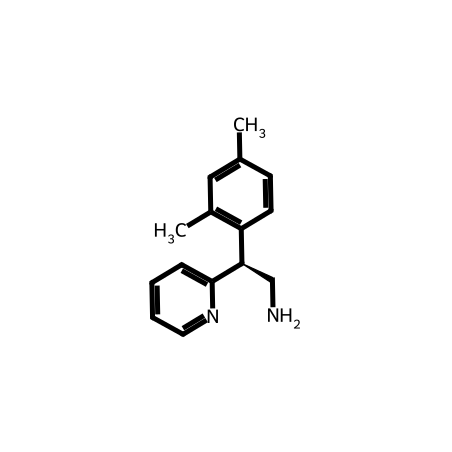 Cc1ccc([C@@H](CN)c2ccccn2)c(C)c1